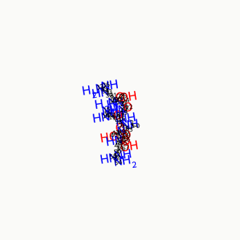 CC(C)C[C@H](NC(=O)[C@H](CCCNC(=N)N)NC(=O)CNC(=O)[C@H](CO)NC(=O)[C@@H](N)CCCNC(=N)N)C(=O)N[C@@H](CO)C(=O)N[C@@H](CCCNC(=N)N)C(=O)O